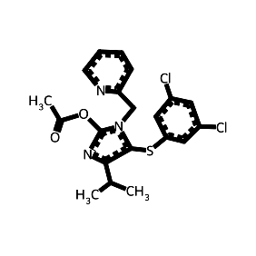 CC(=O)Oc1nc(C(C)C)c(Sc2cc(Cl)cc(Cl)c2)n1Cc1ccccn1